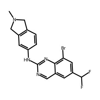 CN1Cc2ccc(Nc3ncc4cc(C(F)F)cc(Br)c4n3)cc2C1